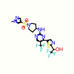 Cn1cc(S(=O)(=O)N2CCC(Nc3ncc(C(F)(F)F)c(-c4cnc(C(O)C(F)(F)F)s4)n3)CC2)cn1